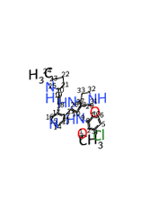 COc1c(Cl)cccc1Nc1c(-c2ccncc2C#C[C@@H]2CC[C@H](C)N2)[nH]c2c1C(=O)NCC2